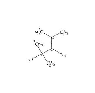 [CH2]C(C)(I)C(I)C(C)C